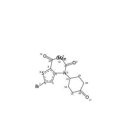 CCC(=O)N(c1cc(Br)sc1C(=O)OC)C1CCC(=O)CC1